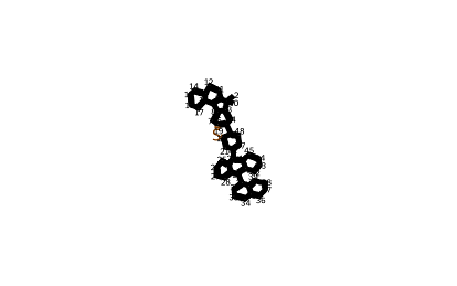 CC1(C)c2cc3c(cc2-c2c1ccc1ccccc21)sc1cc(-c2c4ccccc4c(-c4cccc5ccccc45)c4ccccc24)ccc13